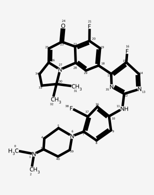 CN(C)C1CCN(c2ccc(Nc3ncc(F)c(-c4cc(F)c5c(=O)cc6n(c5c4)C(C)(C)CC6)n3)cc2F)CC1